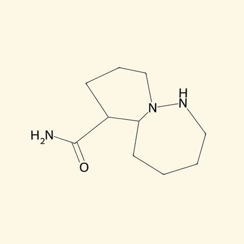 NC(=O)C1CCCN2NCCCCC12